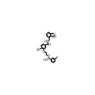 O=C(NCc1cccc2cn[nH]c12)c1ccc(Br)c(OCCOB(O)c2cccc(F)c2)c1